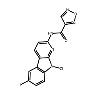 O=C(Nc1ccc2c3cc(Cl)ccc3n(Cl)c2n1)c1cnon1